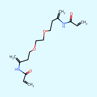 C=CC(=O)NC(=C)CCOCCOCCC(=C)NC(=O)C=C